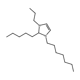 CCCCCCCN1C=CN(CCC)C1CCCCC